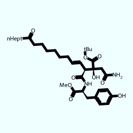 CCCCCCCC(=O)CCCCCC/C=C/[C@H](C(=O)N[C@@H](Cc1ccc(O)cc1)C(=O)OC)[C@@](O)(CC(N)=O)C(=O)OC(C)(C)C